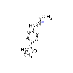 C/C=N/Nc1ccc(C(=O)NC)cn1